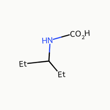 CCC(CC)NC(=O)O